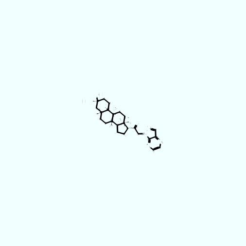 C[C@@]1(O)CC[C@@]2(C)[C@H](CC[C@@H]3[C@@H]2CC[C@]2(C)[C@@H](C(=O)Cn4ncc5nccnc54)CC[C@@H]32)C1